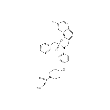 CC(C)(C)OC(=O)N1CCC(Oc2ccc(N(Cc3ccc4ccc(C#N)cc4c3)S(=O)(=O)Cc3ccccc3)cc2)CC1